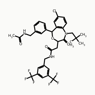 CC(=O)NCc1cccc(C2OC(CC(=O)NCc3cc(C(F)(F)F)cc(C(F)(F)F)c3)C(=O)N(CC(C)(C)C)c3ccc(Cl)cc32)c1